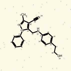 Cc1nn(-c2ccccc2)c(CNc2ccc(CCO)cc2)c1C#N